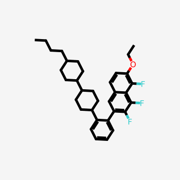 CCCCC1CCC(C2CCC(c3ccccc3-c3cc4ccc(OCC)c(F)c4c(F)c3F)CC2)CC1